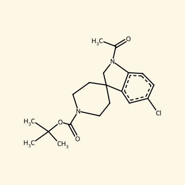 CC(=O)N1CC2(CCN(C(=O)OC(C)(C)C)CC2)c2cc(Cl)ccc21